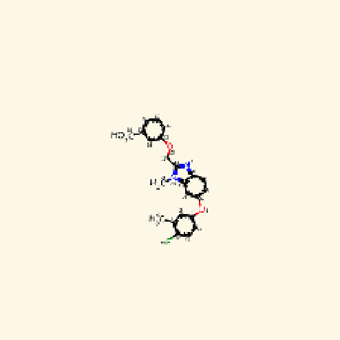 Cc1cc(Oc2ccc3nc(COc4cccc(C(=O)O)c4)n(C)c3c2)ccc1F